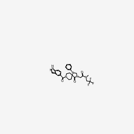 CN(CC(F)(F)F)C(=O)CN1CN(c2ccccc2)C2(CCN(C(=O)c3ccc4[nH]ncc4c3)CC2)C1=O